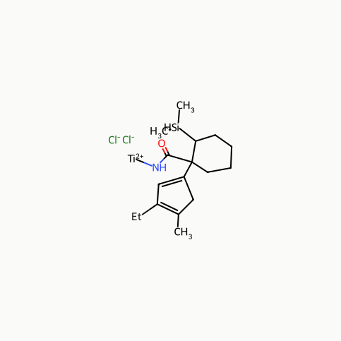 CCC1=C(C)CC(C2(C(=O)[NH][Ti+2])CCCCC2[SiH](C)C)=C1.[Cl-].[Cl-]